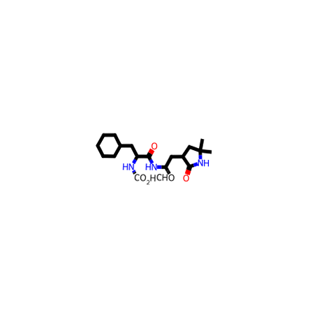 CC1(C)CC(CC(C=O)NC(=O)C(CC2CCCCC2)NC(=O)O)C(=O)N1